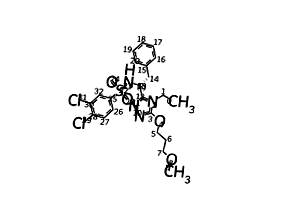 CCn1c(OCCCOC)nnc1[C@@H](Cc1ccccc1)NS(=O)(=O)c1ccc(Cl)c(Cl)c1